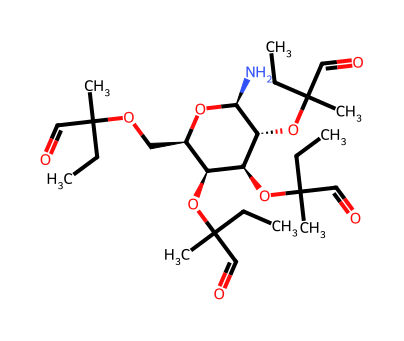 CCC(C)(C=O)OC[C@H]1O[C@@H](N)[C@H](OC(C)(C=O)CC)[C@@H](OC(C)(C=O)CC)[C@H]1OC(C)(C=O)CC